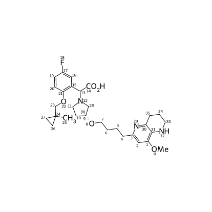 COc1cc(CCCCO[C@@H]2CCN(C(C(=O)O)c3cc(F)ccc3OCC3(C)CC3)C2)nc2c1NCCC2